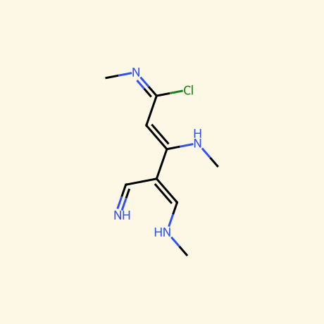 C\N=C(Cl)/C=C(NC)/C(C=N)=C/NC